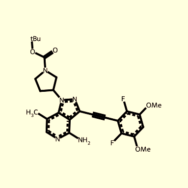 COc1cc(OC)c(F)c(C#Cc2nn(C3CCN(C(=O)OC(C)(C)C)C3)c3c(C)cnc(N)c23)c1F